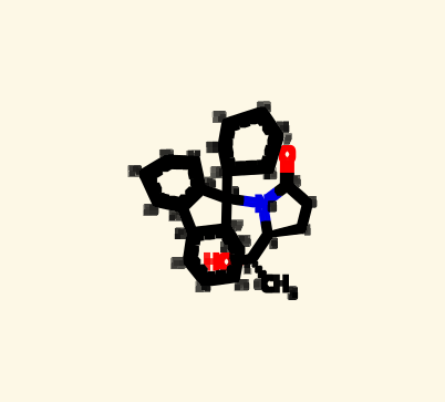 C[C@H](O)[C@@H]1CCC(=O)N1C1(c2ccccc2)c2ccccc2-c2ccccc21